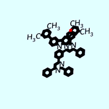 Cc1cc(C)cc(-c2ccc3c(c2)c2cc(-c4cc(C)cc(C)c4)ccc2n3-c2ccc(-c3cc(-c4ccccc4)nc(-c4ccccc4)n3)cc2-c2cc(-c3ccccc3)nc(-c3ccccc3)n2)c1